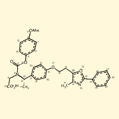 COc1ccc(OC(=O)N(CC(=O)O)[C@@H](C)c2ccc(OCCc3oc(-c4ccccc4)nc3C)cc2)cc1